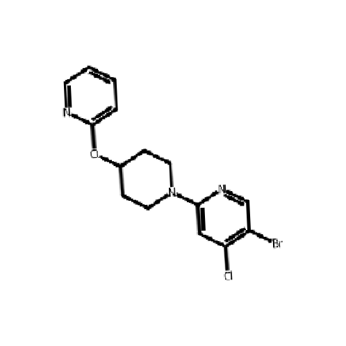 Clc1cc(N2CCC(Oc3ccccn3)CC2)ncc1Br